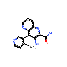 Cc1ccncc1-c1c(N)c(C(N)=O)nc2cccnc12